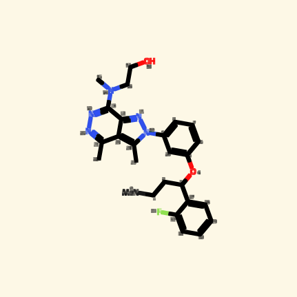 CNCCC(Oc1cccc(-n2nc3c(N(C)CCO)nnc(C)c3c2C)c1)c1ccccc1F